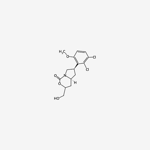 COc1ccc(Cl)c(Cl)c1[C@H]1C[C@H]2CC(CO)OC(=O)N2C1